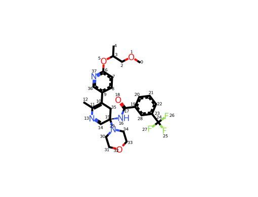 COCC(C)Oc1ccc(C2=C(C)N=C[C@@](NC(=O)c3cccc(C(F)(F)F)c3)(N3CCOCC3)C2)cn1